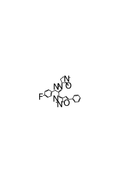 CN1CCC(n2cc(-c3ncnc4oc(-c5ccccc5)cc34)c(-c3ccc(F)cc3)n2)C1=O